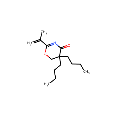 C=C(C)C1=NC(=O)C(CCCC)(CCCC)CO1